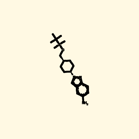 CC(C)(C)[Si](C)(C)OC[C@H]1CC[C@H](n2cc3cc(N)ccc3n2)CC1